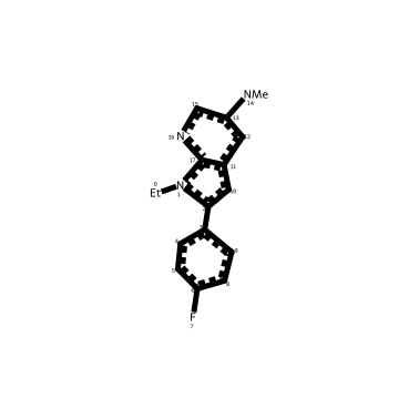 CCn1c(-c2ccc(F)cc2)cc2cc(NC)cnc21